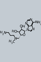 CN(CCCN)C[C@H]1O[C@@H](n2cnc3c(N)ncnc32)[C@H](O)[C@@H]1O